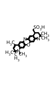 CC1=CC(C)(C)N(C)c2cc3c(cc21)N=c1cc2c(cc1O3)=NC(C)(C)CC2CS(=O)(=O)O